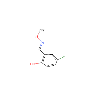 CCCON=Cc1cc(Cl)ccc1O